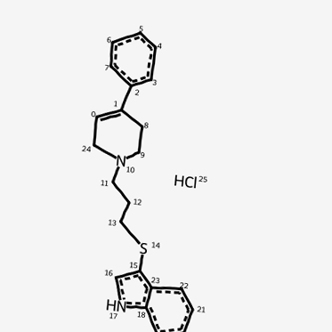 C1=C(c2ccccc2)CCN(CCCSc2c[nH]c3ccccc23)C1.Cl